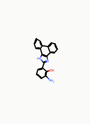 Nc1cccc(-c2nc3c4ccccc4c4ccccc4c3[nH]2)c1O